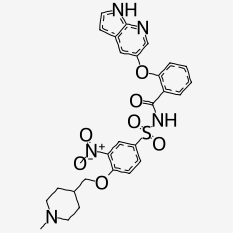 CN1CCC(COc2ccc(S(=O)(=O)NC(=O)c3ccccc3Oc3cnc4[nH]ccc4c3)cc2[N+](=O)[O-])CC1